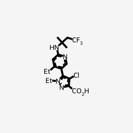 CCc1cc(NC(C)(C)CC(F)(F)F)ncc1-c1c(Cl)c(C(=O)O)nn1CC